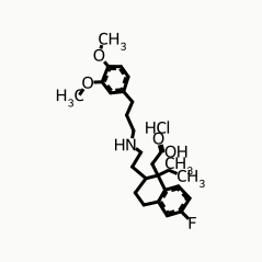 COc1ccc(CCCNCCC2CCc3cc(F)ccc3C2(CC(=O)O)C(C)C)cc1OC.Cl